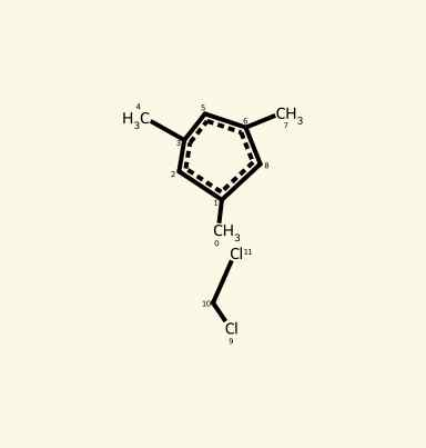 Cc1cc(C)cc(C)c1.ClCCl